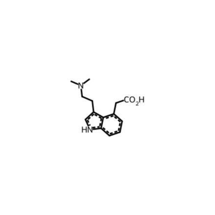 CN(C)CCc1c[nH]c2cccc(CC(=O)O)c12